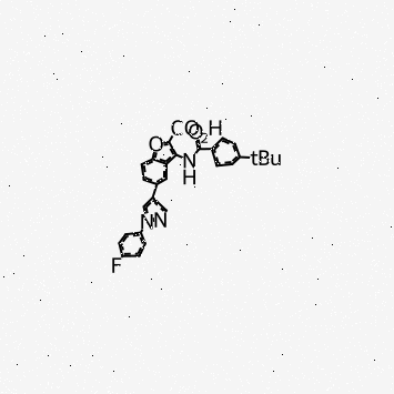 CC(C)(C)c1ccc(C(=O)Nc2c(C(=O)O)oc3ccc(-c4cnn(-c5ccc(F)cc5)c4)cc23)cc1